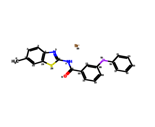 Cc1ccc2nc(NC(=O)c3cccc([I+]c4ccccc4)c3)sc2c1.[Br-]